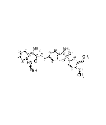 COc1ccc(S(=O)(=O)N(N)c2ccc(CCC(=O)N(N)c3ccccc3NN=N)cc2)cc1OC